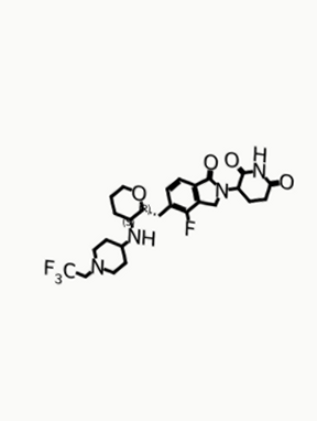 O=C1CCC(N2Cc3c(ccc(C[C@H]4OCCC[C@@H]4NC4CCN(CC(F)(F)F)CC4)c3F)C2=O)C(=O)N1